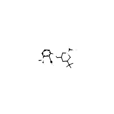 CC(C)(C)C1CC(COc2cccc([N+](=O)[O-])c2C#N)CN(C(=O)O)C1